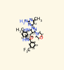 C=C1C(N2CCOCC2)=NN(c2cc(C)nc(N)n2)C1Nc1cc(NC(=O)c2cccc(C(F)(F)F)c2)ccc1C